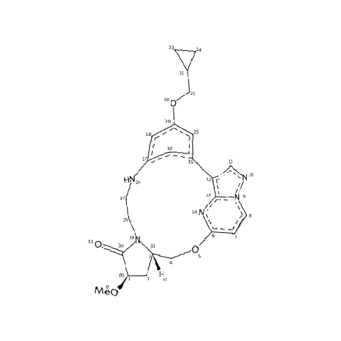 CO[C@@H]1C[C@H]2COc3ccn4ncc(c4n3)-c3cc(cc(OCC4CC4)c3)NCCN2C1=O